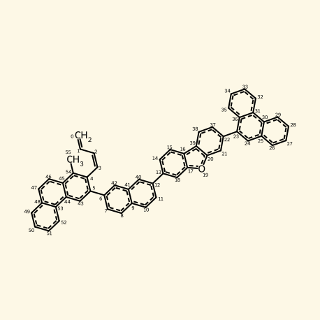 C=C/C=C\c1c(-c2ccc3ccc(-c4ccc5c(c4)oc4cc(-c6cc7ccccc7c7ccccc67)ccc45)cc3c2)cc2c(ccc3ccccc32)c1C